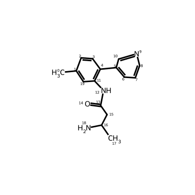 Cc1ccc(-c2cccnc2)c(NC(=O)CC(C)N)c1